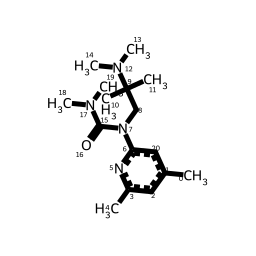 Cc1cc(C)nc(N(CC(C)(C)N(C)C)C(=O)N(C)C)c1